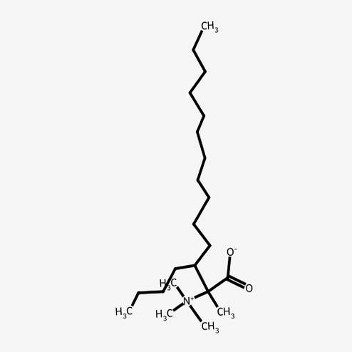 CCCCCCCCCCCC(CCCC)C(C)(C(=O)[O-])[N+](C)(C)C